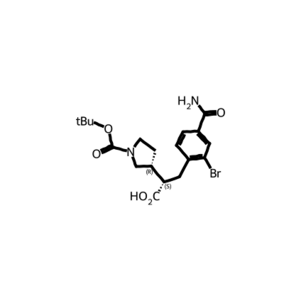 CC(C)(C)OC(=O)N1CC[C@H]([C@H](Cc2ccc(C(N)=O)cc2Br)C(=O)O)C1